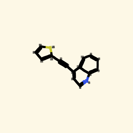 C(#Cc1ccnc2ccccc12)c1cccs1